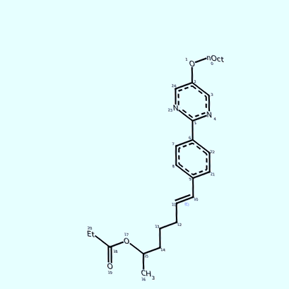 CCCCCCCCOc1cnc(-c2ccc(/C=C/CCCC(C)OC(=O)CC)cc2)nc1